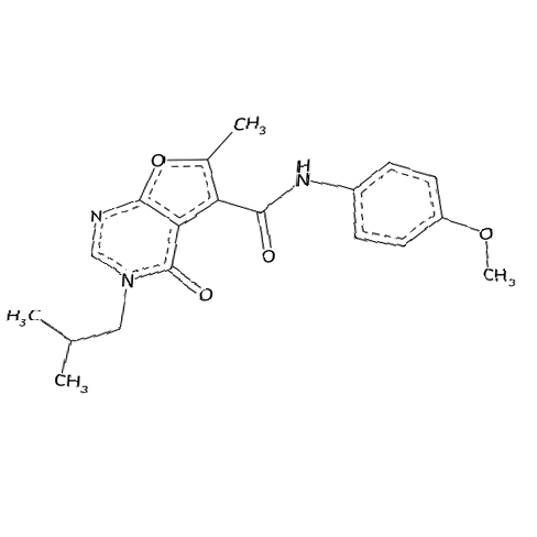 COc1ccc(NC(=O)c2c(C)oc3ncn(CC(C)C)c(=O)c23)cc1